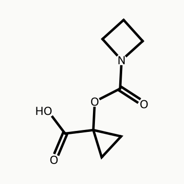 O=C(OC1(C(=O)O)CC1)N1CCC1